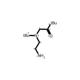 CC(C)(C)C(=O)CN(CCN)C(C)(C)C